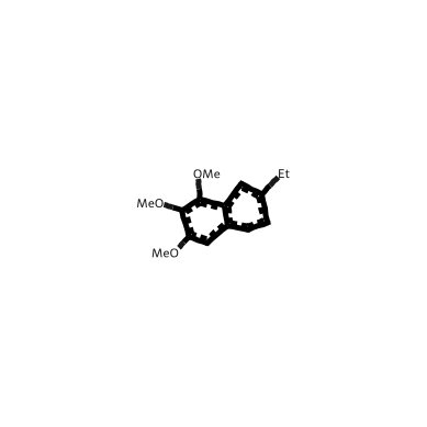 [CH2]Cc1ccc2cc(OC)c(OC)c(OC)c2c1